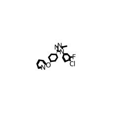 Cc1nnc([C@H]2CC[C@H](Oc3ccccn3)CC2)n1-c1ccc(Cl)c(F)c1